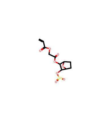 C=CC(=O)OCC(=O)OC1C2CCC(O2)C1O[SH](=O)=O